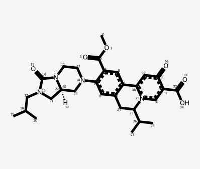 COC(=O)c1cc2c(cc1N1CCN3C(=O)N(CC(C)C)C[C@@H]3C1)CC(C(C)C)n1cc(C(=O)O)c(=O)cc1-2